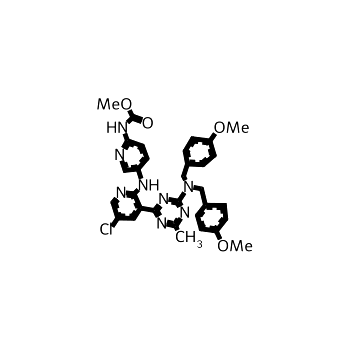 COC(=O)Nc1ccc(Nc2ncc(Cl)cc2-c2nc(C)nc(N(Cc3ccc(OC)cc3)Cc3ccc(OC)cc3)n2)cn1